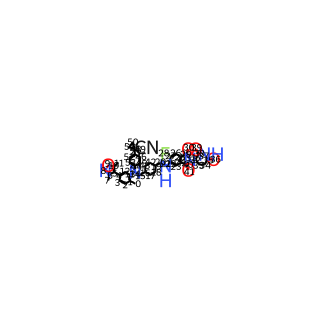 Cc1ccc(-c2c(C)noc2C)cc1N(CC1CCC(CNc2cc3c(cc2F)C(=O)N(C2CCC(=O)NC2=O)C3=O)CC1)c1ccc(C2(C#N)CC2)cc1